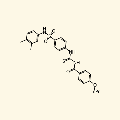 CCCOc1ccc(C(=O)NC(=S)Nc2ccc(S(=O)(=O)Nc3ccc(C)c(C)c3)cc2)cc1